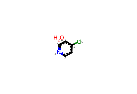 Clc1c[c]ncc1.O